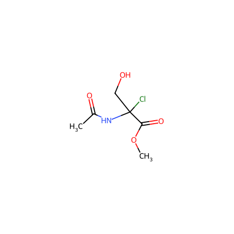 COC(=O)C(Cl)(CO)NC(C)=O